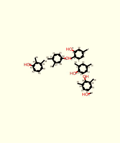 CO.Cc1ccc(C)c(O)c1.Cc1ccc(O)c(C)c1.Cc1ccc(O)cc1C.Cc1cccc(C)c1O.Cc1cccc(O)c1C